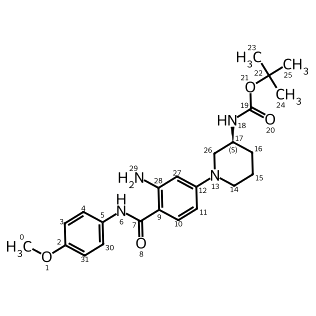 COc1ccc(NC(=O)c2ccc(N3CCC[C@H](NC(=O)OC(C)(C)C)C3)cc2N)cc1